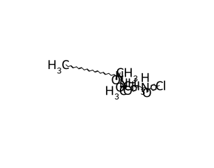 CCC=CCC=CCC=CCC=CCC=CCCCC(=O)N(C)CCNC(=O)C(C)(C)Oc1ccc(CCNC(=O)c2ccc(Cl)cc2)cc1